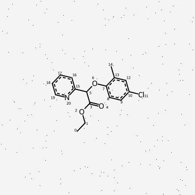 CCOC(=O)C(Oc1ccc(Cl)cc1C)c1ccccn1